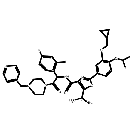 C[C@H](N)c1oc(-c2ccc(OC(F)F)c(OCC3CC3)c2)nc1C(=O)NC(C(=O)N1CCN(Cc2ccncc2)CC1)c1ccc(F)cc1F